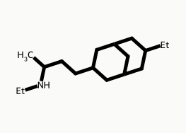 CCNC(C)CCC1CC2CC(CC)CC(C1)C2